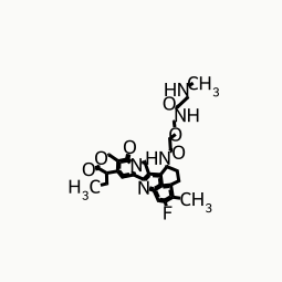 CCC1C(=O)OCc2c1cc1n(c2=O)Cc2c-1nc1cc(F)c(C)c3c1c2C(NC(=O)COCNC(=O)CNC)CC3